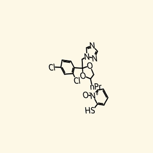 CCCC1COC(Cn2cncn2)(c2ccc(Cl)cc2Cl)O1.[O-][n+]1ccccc1S